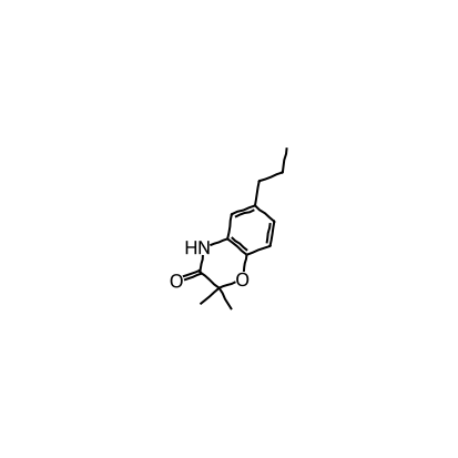 CCCc1ccc2c(c1)NC(=O)C(C)(C)O2